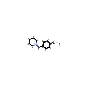 Cc1ccc(CN2CCCCC2)cc1